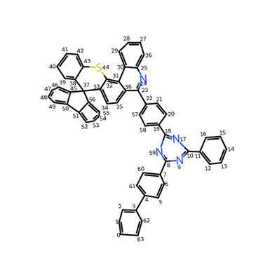 c1ccc(-c2ccc(-c3nc(-c4ccccc4)nc(-c4ccc(-c5nc6ccccc6c6c7c(ccc56)C5(c6ccccc6S7)c6ccccc6-c6ccccc65)cc4)n3)cc2)cc1